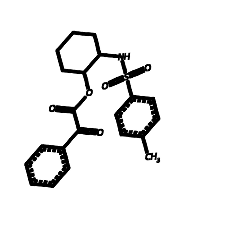 Cc1ccc(S(=O)(=O)NC2CCCCC2OC(=O)C(=O)c2ccccc2)cc1